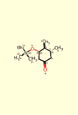 C=C1[C@H](C)CC(=O)C[C@H]1O[Si](C)(C)C(C)(C)C